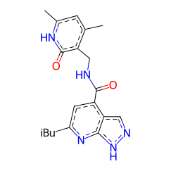 CCC(C)c1cc(C(=O)NCc2c(C)cc(C)[nH]c2=O)c2cn[nH]c2n1